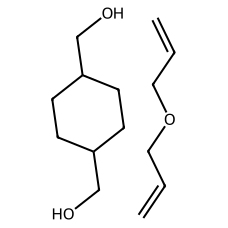 C=CCOCC=C.OCC1CCC(CO)CC1